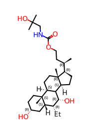 CC[C@H]1[C@@H](O)C2[C@@H]3CC[C@H]([C@H](C)CCOC(=O)NCC(C)(C)O)[C@@]3(C)CC[C@@H]2[C@@]2(C)CC[C@@H](O)C[C@@H]12